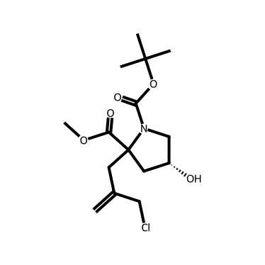 C=C(CCl)CC1(C(=O)OC)C[C@@H](O)CN1C(=O)OC(C)(C)C